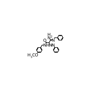 COc1ccc(CNC(=O)C(/N=N/c2ccccc2)/C(N)=N/Cc2ccccc2)cc1